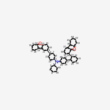 c1ccc(N(c2ccc(-c3ccc4oc5ccccc5c4c3)cc2)c2ccc(-c3ccccc3-c3cccc4c3oc3ccccc34)cc2)cc1